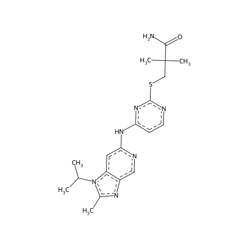 Cc1nc2cnc(Nc3ccnc(SCC(C)(C)C(N)=O)n3)cc2n1C(C)C